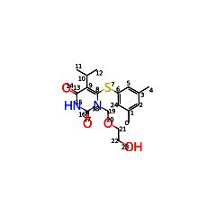 Cc1cc(C)cc(Sc2c(C(C)C)c(=O)[nH]c(=O)n2COCCO)c1